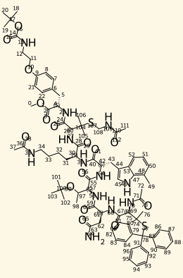 COC(=O)[C@H](Cc1ccc(OCCNC(=O)OC(C)(C)C)cc1)NC(=O)[C@@H](NC(=O)[C@H](CCCCNC(C)=O)NC(=O)[C@H](Cc1c[nH]c2c(C)cccc12)NC(=O)[C@@H](NC(=O)[C@H](CC(N)=O)NC(=O)[C@@H](NC(C)=O)C(C)(C)SC(c1ccccc1)(c1ccccc1)c1ccccc1)C(C)OC(C)(C)C)C(C)(C)SCNC(C)=O